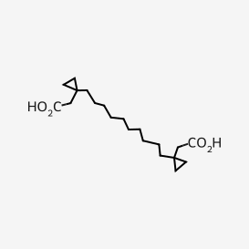 O=C(O)CC1(CCCCCCCCCCC2(CC(=O)O)CC2)CC1